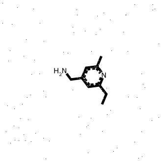 CCc1cc(CN)cc(C)n1